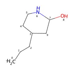 [CH2]CCC1CCNC(O)C1